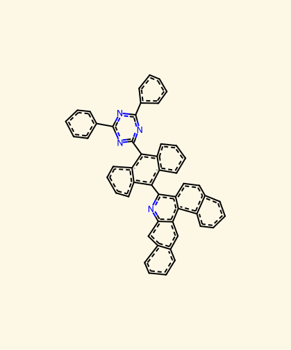 c1ccc(-c2nc(-c3ccccc3)nc(-c3c4ccccc4c(-c4nc5cc6ccccc6cc5c5c4ccc4ccccc45)c4ccccc34)n2)cc1